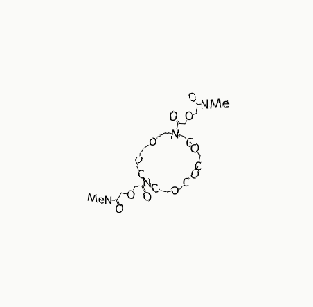 CNC(=O)COCC(=O)N1CCOCCOCCOCCN(C(=O)COCC(=O)NC)CCOCCOCC1